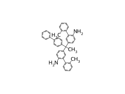 Cc1ccccc1-c1cc(C(C)(c2ccc(-c3ccccc3)cc2)c2ccc(N)c(-c3ccccc3C)c2)ccc1N